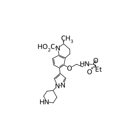 CCS(=O)(=O)NCCOc1c(-c2cnn(C3CCNCC3)c2)ccc2c1CC[C@H](C)N2C(=O)O